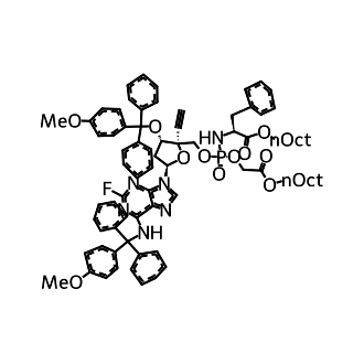 C#C[C@]1(COP(=O)(N[C@@H](Cc2ccccc2)C(=O)OCCCCCCCC)OCC(=O)OCCCCCCCC)O[C@@H](n2cnc3c(NC(c4ccccc4)(c4ccccc4)c4ccc(OC)cc4)nc(F)nc32)C[C@@H]1OC(c1ccccc1)(c1ccccc1)c1ccc(OC)cc1